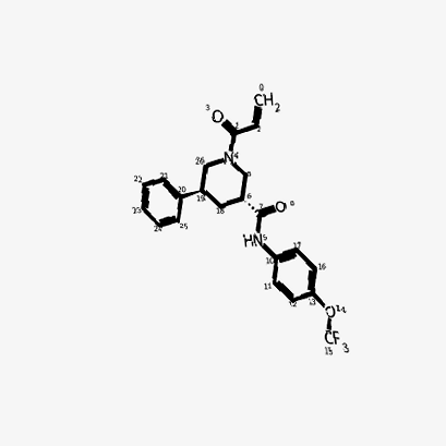 C=CC(=O)N1C[C@H](C(=O)Nc2ccc(OC(F)(F)F)cc2)C[C@@H](c2ccccc2)C1